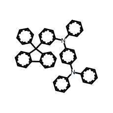 c1ccc(N(c2ccccc2)c2ccc(N(c3ccccc3)c3cccc(C4(c5ccccc5)c5ccccc5-c5ccccc54)c3)cc2)cc1